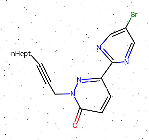 CCCCCCCC#CCn1nc(-c2ncc(Br)cn2)ccc1=O